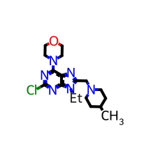 CCn1c(CN2CCC(C)CC2)nc2c(N3CCOCC3)nc(Cl)nc21